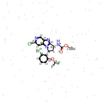 CC(C)(C)OC(=O)N[C@@H]1C[C@H](c2c(Br)cccc2OC(F)F)n2c1nc1cnc(Cl)cc12